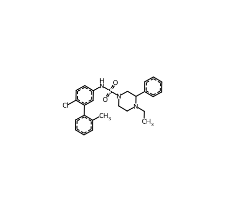 CCN1CCN(S(=O)(=O)Nc2ccc(Cl)c(-c3ccccc3C)c2)CC1c1ccccc1